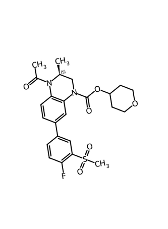 CC(=O)N1c2ccc(-c3ccc(F)c(S(C)(=O)=O)c3)cc2N(C(=O)OC2CCOCC2)C[C@@H]1C